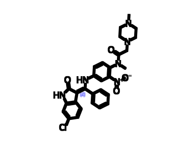 CN1CCN(CC(=O)N(C)c2ccc(N/C(=C3\C(=O)Nc4cc(Cl)ccc43)c3ccccc3)cc2[N+](=O)[O-])CC1